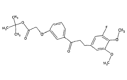 COc1cc(CCC(=O)c2cccc(OCC(=O)OC(C)(C)C)c2)cc(F)c1OC